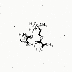 C=C(C)C(=O)OCC[N+](C)(C)C.C=CC(N)=O.[Cl-]